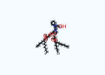 CCCCCCCCC(CCCCCC)COC(=O)CCOCC(CN(CC)CCN(CCO)C1CCCCC1)OCCC(=O)OCC(CCCCCC)CCCCCCCC